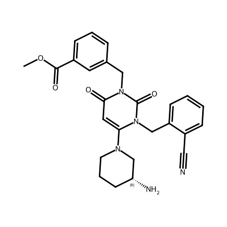 COC(=O)c1cccc(Cn2c(=O)cc(N3CCC[C@@H](N)C3)n(Cc3ccccc3C#N)c2=O)c1